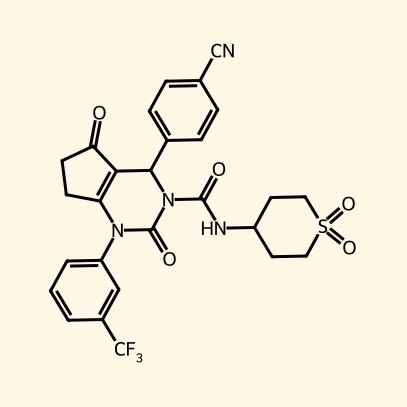 N#Cc1ccc(C2C3=C(CCC3=O)N(c3cccc(C(F)(F)F)c3)C(=O)N2C(=O)NC2CCS(=O)(=O)CC2)cc1